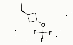 CC[C@H]1C[C@H](OC(F)(F)F)C1